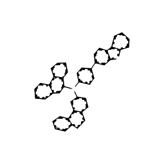 c1ccc2c(c1)ccc1ccc(N(c3ccc(-c4ccc5c(c4)oc4ccccc45)cc3)c3cc4ccccc4c4ccccc34)cc12